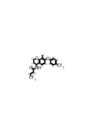 Cc1c(Oc2ccc(C(F)(F)F)cc2)ccc2c1OCCC2NC(=O)/C=C/C(F)(F)F